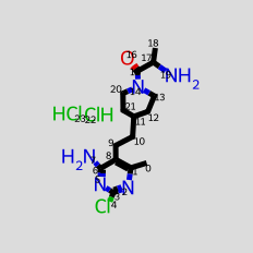 Cc1nc(Cl)nc(N)c1CCC1CCN(C(=O)C(C)N)CC1.Cl.Cl